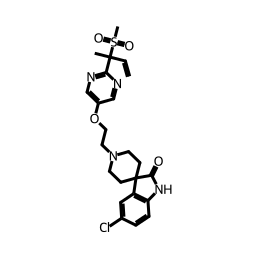 C=CC(C)(c1ncc(OCCN2CCC3(CC2)C(=O)Nc2ccc(Cl)cc23)cn1)S(C)(=O)=O